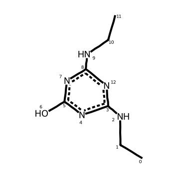 CCNc1nc(O)nc(NCC)n1